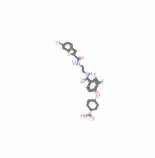 O=C(NCCNC(=O)c1ccc(O[C@H]2CC[C@@H](C(=O)O)CC2)c(F)c1F)c1cc2ccc(Cl)cc2s1